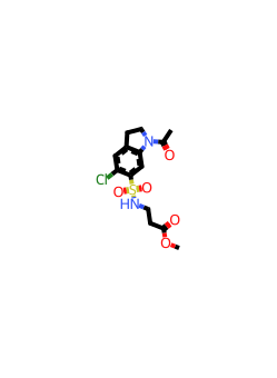 COC(=O)CCNS(=O)(=O)c1cc2c(cc1Cl)CCN2C(C)=O